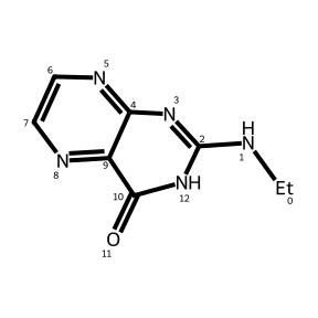 CCNc1nc2nccnc2c(=O)[nH]1